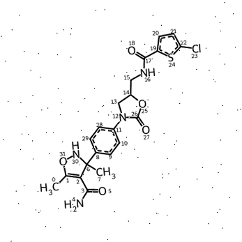 CC1=C(C(N)=O)C(C)(c2ccc(N3CC(CNC(=O)c4ccc(Cl)s4)OC3=O)cc2)NO1